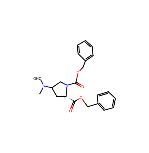 CN(C=O)C1C[C@@H](C(=O)OCc2ccccc2)N(C(=O)OCc2ccccc2)C1